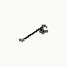 C=CCC(CCCCCCCCCCCCCCCC)C(=O)OC(=O)O